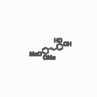 COc1ccc(C=Cc2ccc(O)c(O)c2)cc1OC